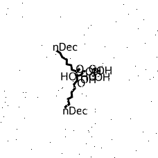 CCCCCCCCCCCCCCCCCC(=O)C(O)(C(=O)CCCCCCCCCCCCCCCCC)C(O)CO.O=P(O)(O)O